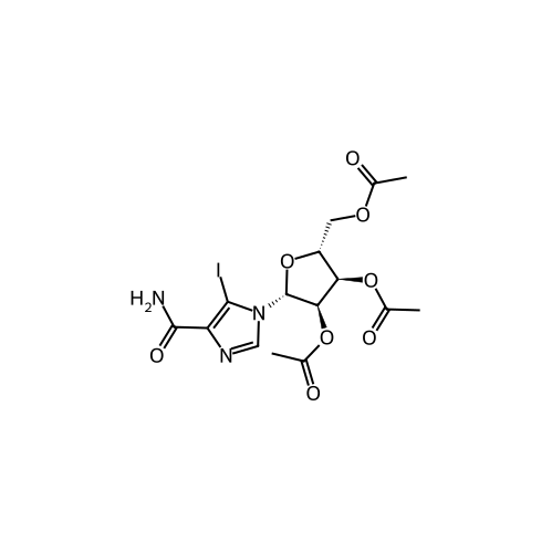 CC(=O)OC[C@H]1O[C@@H](n2cnc(C(N)=O)c2I)[C@H](OC(C)=O)[C@@H]1OC(C)=O